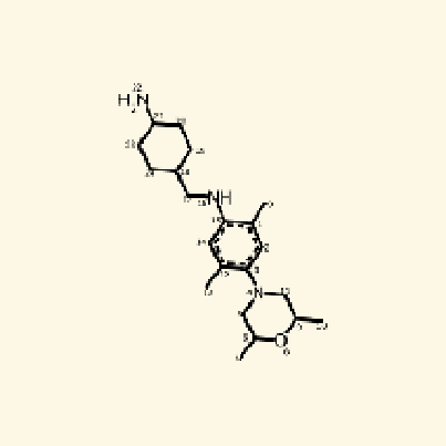 Cc1cc(N2CC(C)OC(C)C2)c(C)cc1NCC1CCC(N)CC1